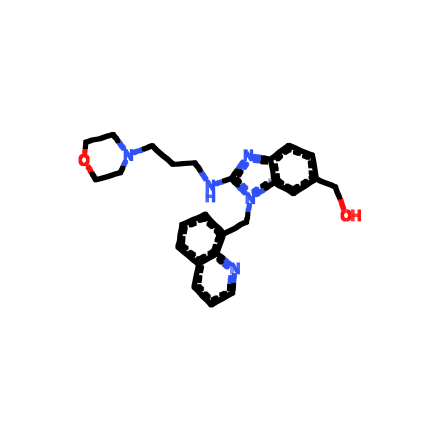 OCc1ccc2nc(NCCCN3CCOCC3)n(Cc3cccc4cccnc34)c2c1